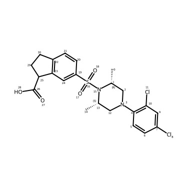 C[C@@H]1CN(c2ccc(Cl)cc2Cl)C[C@H](C)N1S(=O)(=O)c1ccc2c(c1)C(C(=O)O)CC2